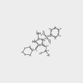 Nc1[nH]c(=C\C2=CCCCC2)/c(=C\N(I)I)c1S(=O)(=O)c1ccccc1